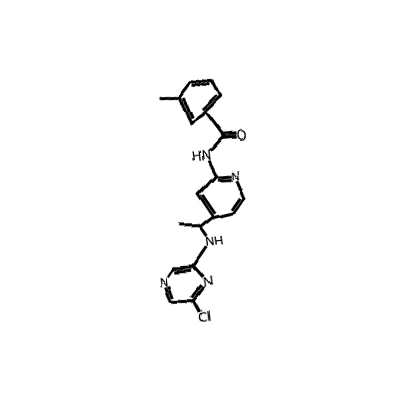 Cc1cccc(C(=O)Nc2cc(C(C)Nc3cncc(Cl)n3)ccn2)c1